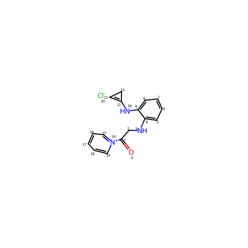 O=C(CNc1ccccc1NC1=CC1)[n+]1ccccc1.[Cl-]